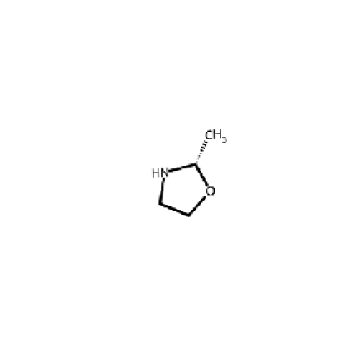 C[C@H]1NCCO1